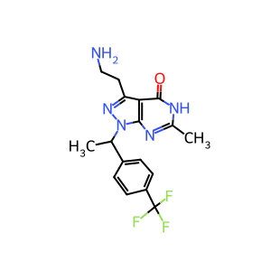 Cc1nc2c(c(CCN)nn2C(C)c2ccc(C(F)(F)F)cc2)c(=O)[nH]1